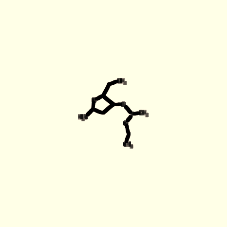 BC1CC(OP(C)OCC)C(CC)O1